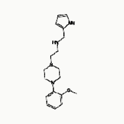 COc1ccccc1N1CCN(CCNCc2ccc[nH]2)CC1